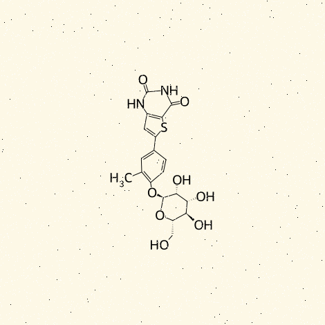 Cc1cc(-c2cc3[nH]c(=O)[nH]c(=O)c3s2)ccc1O[C@@H]1O[C@@H](CO)[C@H](O)[C@@H](O)[C@H]1O